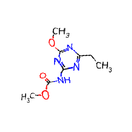 CCc1nc(NC(=O)OC)nc(OC)n1